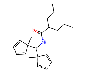 CCCC(CCC)C(=O)[NH][Y]([C]1(C)C=CC=C1)[C]1(C)C=CC=C1